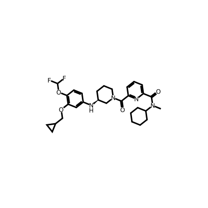 CN(C(=O)c1cccc(C(=O)N2CCC[C@H](Nc3ccc(OC(F)F)c(OCC4CC4)c3)C2)n1)C1CCCCC1